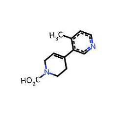 Cc1ccncc1C1=CCN(C(=O)O)CC1